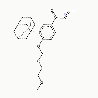 C/C=C/C(=O)c1ccc(OCOCCOC)c(C23CC4CC(CC(C4)C2)C3)c1